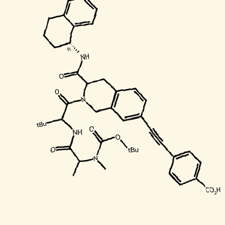 CC(C(=O)NC(C(=O)N1Cc2cc(C#Cc3ccc(C(=O)O)cc3)ccc2CC1C(=O)N[C@@H]1CCCc2ccccc21)C(C)(C)C)N(C)C(=O)OC(C)(C)C